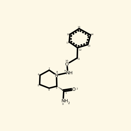 NC(=O)[C@@H]1CCCCN1NOCc1ccccc1